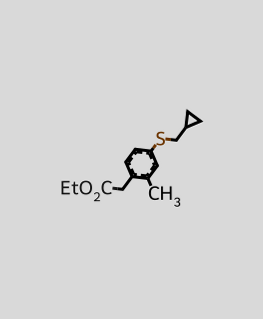 CCOC(=O)Cc1ccc(SCC2CC2)cc1C